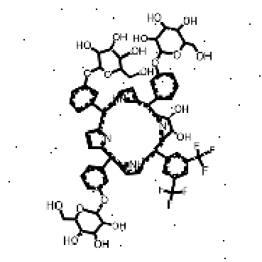 OCC1OC(Oc2cccc(-c3c4nc(c(-c5cccc(OC6OC(CO)C(O)C(O)C6O)c5)c5ccc([nH]5)c(-c5cc(C(F)(F)F)cc(C(F)(F)F)c5)c5nc(c(-c6cccc(OC7OC(CO)C(O)C(O)C7O)c6)c6ccc3[nH]6)[C@@H](O)[C@H]5O)C=C4)c2)C(O)C(O)C1O